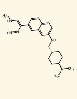 CN/C=C(\N=N)c1ccc2cnc(NC[C@H]3CC[C@H](N(C)C)CC3)cc2c1